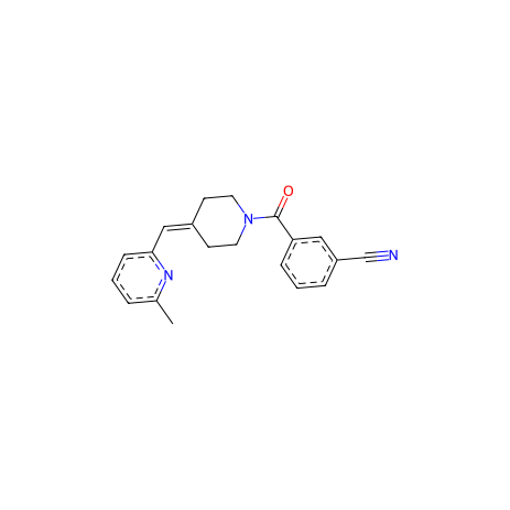 Cc1cccc(C=C2CCN(C(=O)c3cccc(C#N)c3)CC2)n1